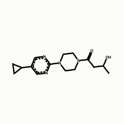 CC(O)CC(=O)N1CCN(c2ncc(C3CC3)cn2)CC1